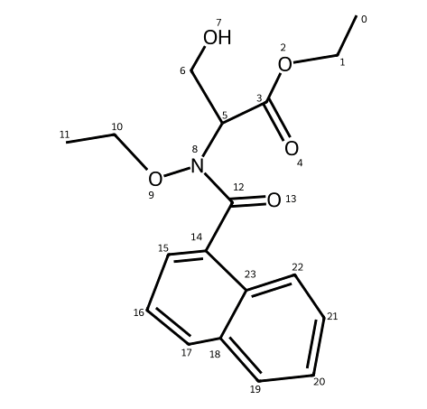 CCOC(=O)C(CO)N(OCC)C(=O)c1cccc2ccccc12